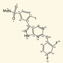 CNS(=O)(=O)c1ccc(C)c(-c2n[nH]c3nc(Oc4ccc(F)cc4F)ncc23)c1